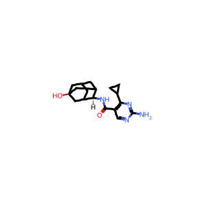 Nc1ncc(C(=O)N[C@H]2C3CC4CC2C[C@@](O)(C4)C3)c(C2CC2)n1